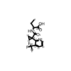 CCC(NC(=O)C1(c2ncccc2C(F)(F)F)CC1)C(=O)O